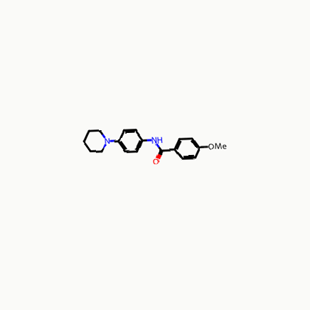 COc1ccc(C(=O)Nc2ccc(N3CCCCC3)cc2)cc1